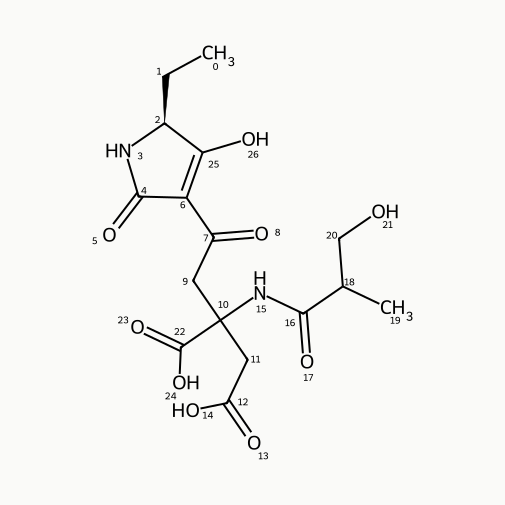 CC[C@@H]1NC(=O)C(C(=O)CC(CC(=O)O)(NC(=O)C(C)CO)C(=O)O)=C1O